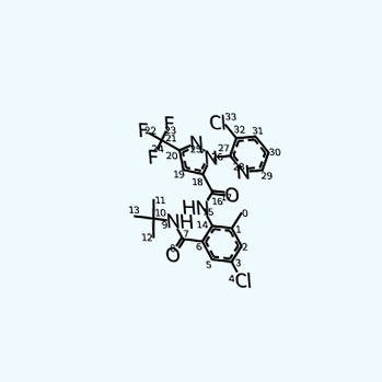 Cc1cc(Cl)cc(C(=O)NC(C)(C)C)c1NC(=O)c1cc(C(F)(F)F)nn1-c1ncccc1Cl